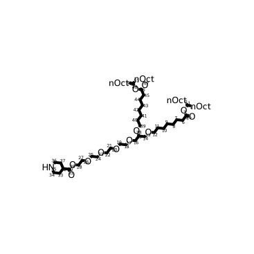 CCCCCCCCC(CCCCCCCC)OC(=O)CCCCCCCOCC(COCCOCCOCCOCCOC(=O)C1CCNCC1)OCCCCCCCC(=O)OC(CCCCCCCC)CCCCCCCC